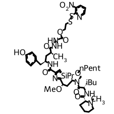 CCCCCOCN(C(=O)[C@@H](NC(=O)[C@H]1CCCCN1C)C(C)CC)[C@H](C[C@@H](OC)c1nc(C(=O)N[C@@H](Cc2ccc(O)cc2)C[C@H](C)C(=O)NNC(=O)OCCSSc2ncccc2[N+](=O)[O-])cs1)C(C)C